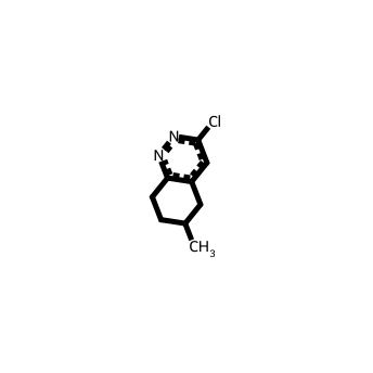 CC1CCc2nnc(Cl)cc2C1